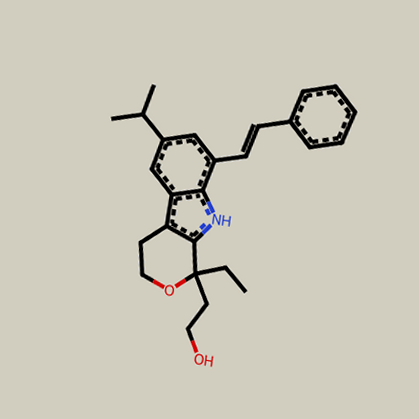 CCC1(CCO)OCCc2c1[nH]c1c(C=Cc3ccccc3)cc(C(C)C)cc21